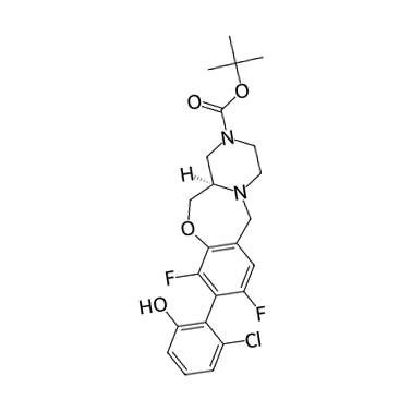 CC(C)(C)OC(=O)N1CCN2Cc3cc(F)c(-c4c(O)cccc4Cl)c(F)c3OC[C@H]2C1